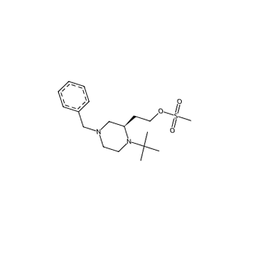 CC(C)(C)N1CCN(Cc2ccccc2)C[C@H]1CCOS(C)(=O)=O